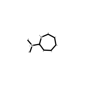 CN(C)C1CCCCC[N]1